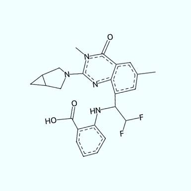 Cc1cc(C(Nc2ccccc2C(=O)O)C(F)F)c2nc(N3CC4CC4C3)n(C)c(=O)c2c1